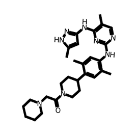 Cc1cc(Nc2nc(Nc3cc(C)c(C4CCN(C(=O)CN5CCCCC5)CC4)cc3C)ncc2C)n[nH]1